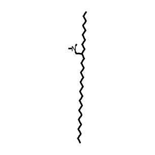 CCCCCCCCCCCCCCCCCCCC(CCCCCCCCC)CN(C)C